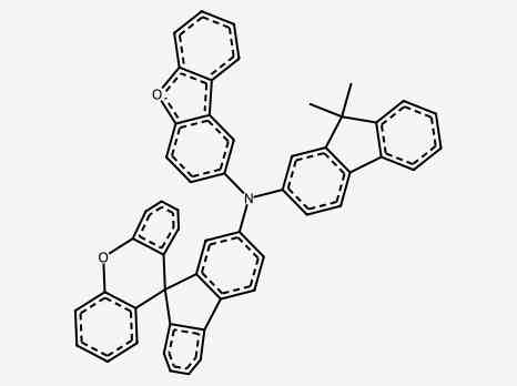 CC1(C)c2ccccc2-c2ccc(N(c3ccc4c(c3)C3(c5ccccc5Oc5ccccc53)c3ccccc3-4)c3ccc4oc5ccccc5c4c3)cc21